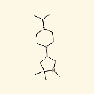 CC(C)N1CCN(C2CN(C)C(C)(C)C2)CC1